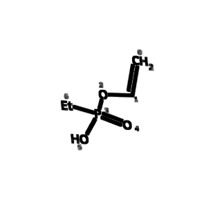 C=COP(=O)(O)CC